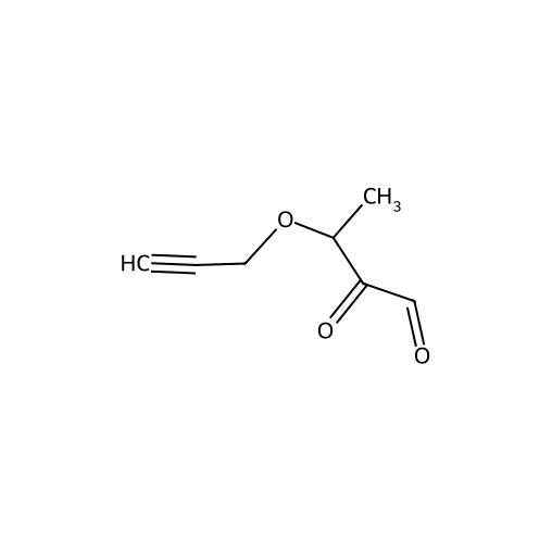 C#CCOC(C)C(=O)C=O